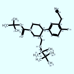 CC(C)(C)OC(=O)N1CC[C@@H](c2ccc(F)c(CC#N)c2)[C@@H](CO[Si](C)(C)C(C)(C)C)C1